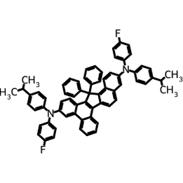 CC(C)c1ccc(N(c2ccc(F)cc2)c2ccc3c4c(ccc3c2)-c2c(c3ccc(N(c5ccc(F)cc5)c5ccc(C(C)C)cc5)cc3c3ccccc23)C4(c2ccccc2)c2ccccc2)cc1